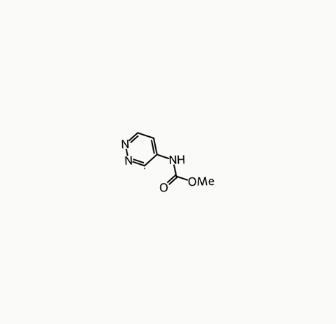 COC(=O)Nc1[c]nncc1